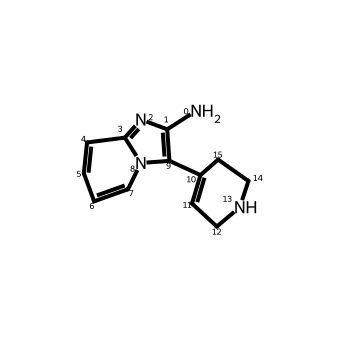 Nc1nc2ccccn2c1C1=CCNCC1